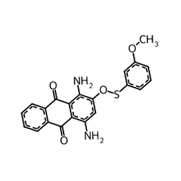 COc1cccc(SOc2cc(N)c3c(c2N)C(=O)c2ccccc2C3=O)c1